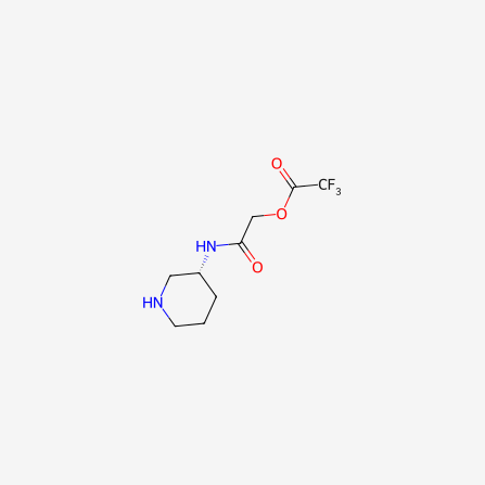 O=C(COC(=O)C(F)(F)F)N[C@@H]1CCCNC1